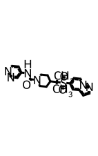 CC(C)(C1CCN(C(=O)Nc2ccnnc2)CC1)S(=O)(=O)c1ccn2nccc2c1